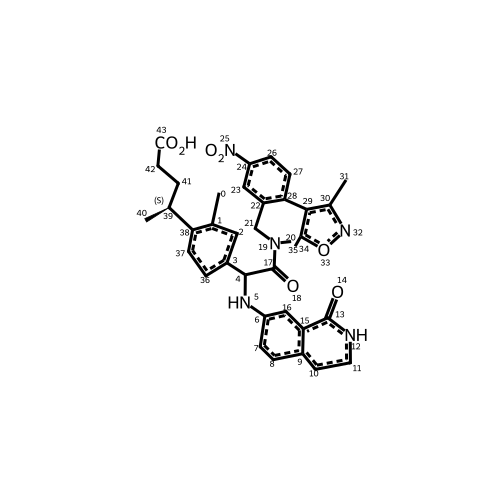 Cc1cc(C(Nc2ccc3cc[nH]c(=O)c3c2)C(=O)N(C)Cc2cc([N+](=O)[O-])ccc2-c2c(C)noc2C)ccc1[C@@H](C)CCC(=O)O